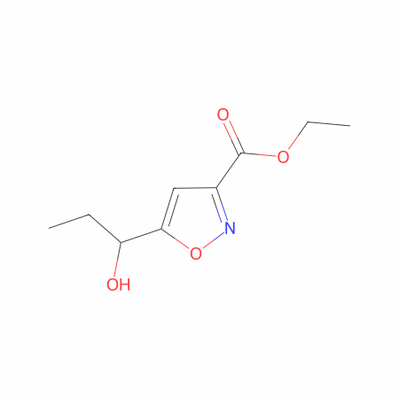 CCOC(=O)c1cc(C(O)CC)on1